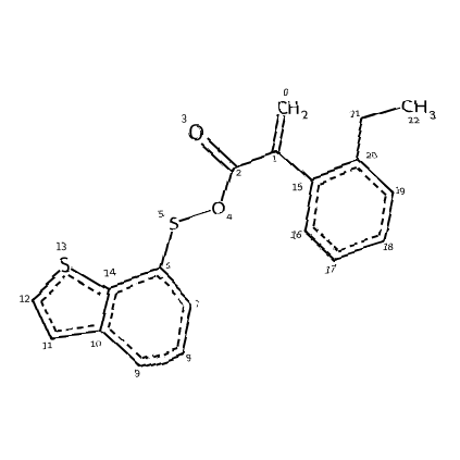 C=C(C(=O)OSc1cccc2ccsc12)c1ccccc1CC